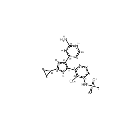 CS(=O)(=O)Nc1cccc(-c2nc(C3CC3)sc2-c2ccnc(N)n2)c1Cl